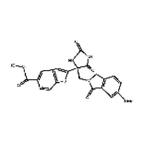 COc1ccc2c(c1)C(=O)N(C[C@@]1(c3cc4cc(C(=O)NO)ccc4o3)NC(=O)NC1=O)C2